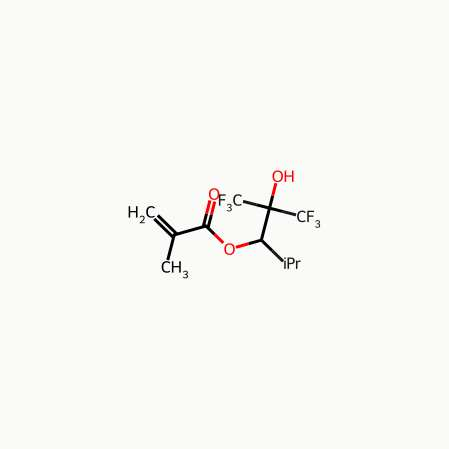 C=C(C)C(=O)OC(C(C)C)C(O)(C(F)(F)F)C(F)(F)F